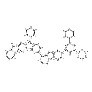 c1ccc(-c2nc(-c3ccccc3)nc(-c3ccc4c(c3)oc3c(-c5ccc6c(c5)c5cc7c(cc5n6-c5ccccc5)sc5ccccc57)cccc34)n2)cc1